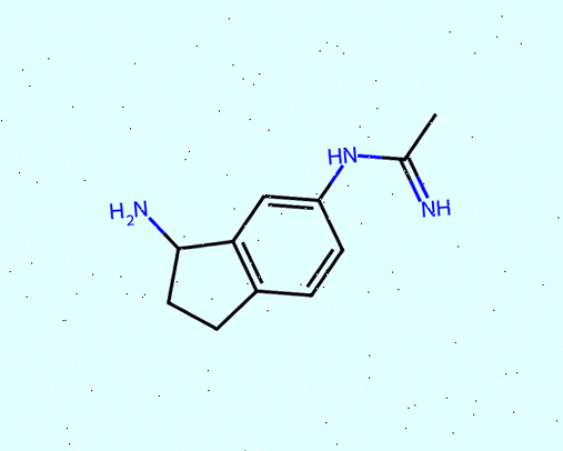 CC(=N)Nc1ccc2c(c1)C(N)CC2